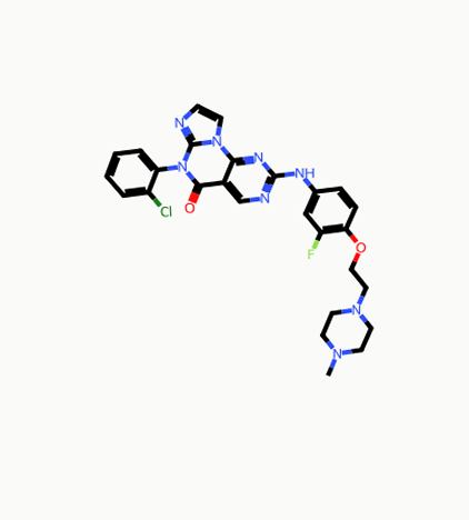 CN1CCN(CCOc2ccc(Nc3ncc4c(=O)n(-c5ccccc5Cl)c5nccn5c4n3)cc2F)CC1